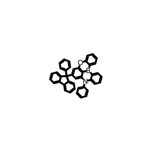 c1ccc(N2c3ccccc3B3c4ccccc4Oc4cc(C5(c6ccccc6)c6ccccc6-c6ccccc65)cc2c43)cc1